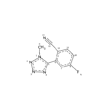 Cn1nnnc1-c1cc(F)ccc1C#N